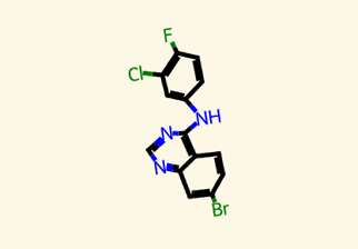 Fc1ccc(Nc2ncnc3cc(Br)ccc23)cc1Cl